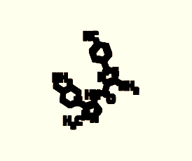 Cn1ncc(NC(=O)c2nc(-c3ccc(C#N)cc3)sc2N)c1N1CCC(CN)CC1